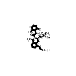 C[C@H]1c2cccc(C=CC(=O)O)c2C[C@H](CO[Si](C)(C)C(C)(C)C)N1C(=O)Cc1c(Cl)cccc1Cl